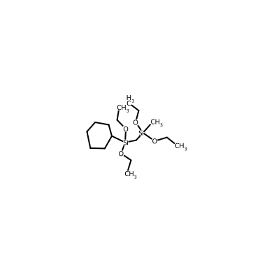 CCO[Si](C)(C[Si](OCC)(OCC)C1CCCCC1)OCC